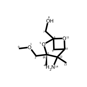 COC[C@]1(C)OC2(CO)CC(O2)C1(C)N